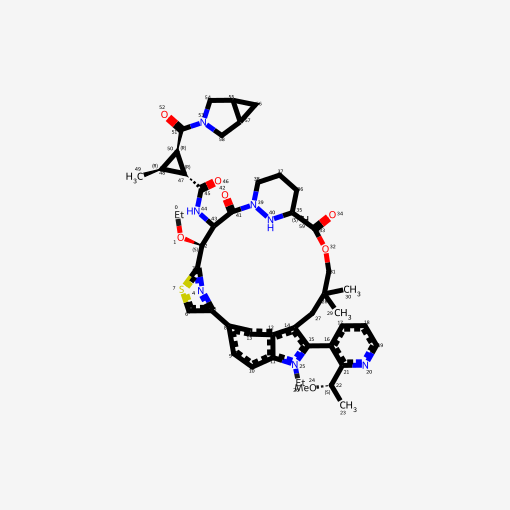 CCO[C@@H]1c2nc(cs2)-c2ccc3c(c2)c(c(-c2cccnc2[C@H](C)OC)n3CC)CC(C)(C)COC(=O)[C@@H]2CCCN(N2)C(=O)C1NC(=O)[C@@H]1[C@@H](C)[C@H]1C(=O)N1CC2CC2C1